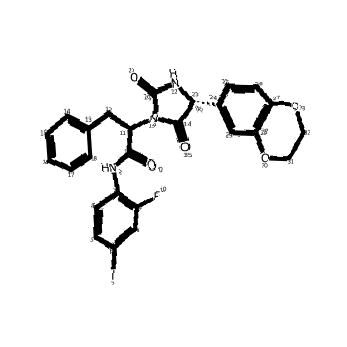 O=C(Nc1ccc(I)cc1F)C(Cc1ccccc1)N1C(=O)N[C@H](c2ccc3c(c2)OCCO3)C1=O